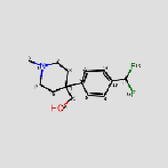 CN1CCC(CO)(c2ccc(C(F)F)cc2)CC1